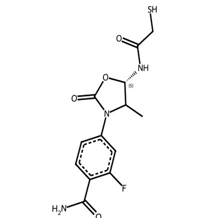 CC1[C@@H](NC(=O)CS)OC(=O)N1c1ccc(C(N)=O)c(F)c1